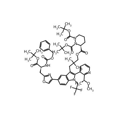 CO[C@@H](C)c1ncccc1-c1c(CC(C)(C)COC(=O)[C@@H]2CCCN(C(=O)OC(C)(C)C)N2C(=O)OC(C)(C)C)c2cc(-c3coc(C[C@H](NC(=O)OCc4ccccc4)C(=O)OC(C)(C)C)n3)ccc2n1CC(F)(F)F